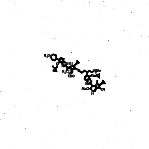 CNCCC(CCC#Cc1c(C2CC2)[nH]c(=C(/C)c2nc3c(OCC4(F)CC4)c(C4CCN(C)CC4)ccc3[nH]2)/c1=C\NC=O)c1ccc2[nH]c(C3=c4[nH]c(C5CC5)c(C#N)c4=CNC3OC)nc2c1OCC1(F)CC1